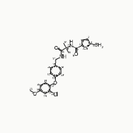 Bc1ccc(C(=O)NC(C)(C)C(=O)NCc2ccc(Oc3ccc(OC)cc3Cl)cc2)s1